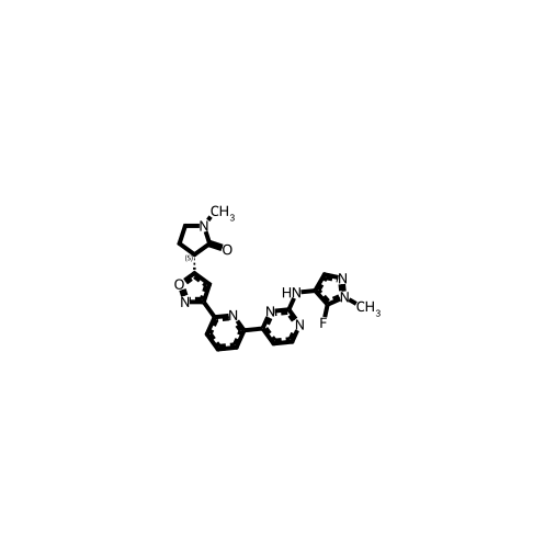 CN1CC[C@@H](c2cc(-c3cccc(-c4ccnc(Nc5cnn(C)c5F)n4)n3)no2)C1=O